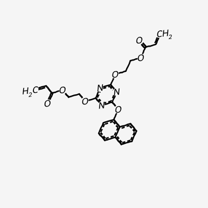 C=CC(=O)OCCOc1nc(OCCOC(=O)C=C)nc(Oc2cccc3ccccc23)n1